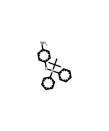 CC(C)(C)[Si](Oc1ccc(N)cc1)(c1ccccc1)c1ccccc1